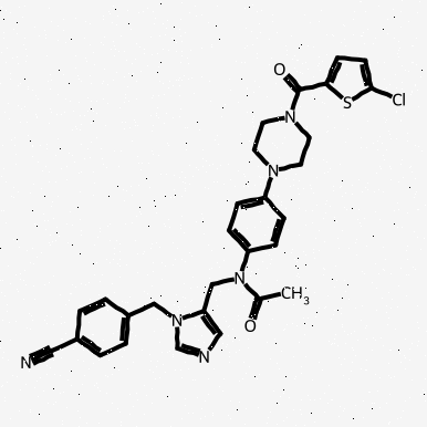 CC(=O)N(Cc1cncn1Cc1ccc(C#N)cc1)c1ccc(N2CCN(C(=O)c3ccc(Cl)s3)CC2)cc1